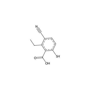 CCc1c(C#N)ccc(S)c1C(=O)O